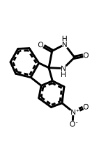 O=C1NC(=O)C2(N1)c1ccccc1-c1ccc([N+](=O)[O-])cc12